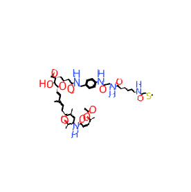 CSCC(=O)NCCCCCC(=O)NCC(=O)Nc1ccc(CNC(=O)C[C@@H]2C[C@@]3(CO3)[C@H](O)[C@@H](/C=C/C(C)=C/C[C@@H]3O[C@H](C)[C@H](NC(=O)/C=C\[C@H](C)OC(C)=O)C[C@@H]3C)O2)cc1